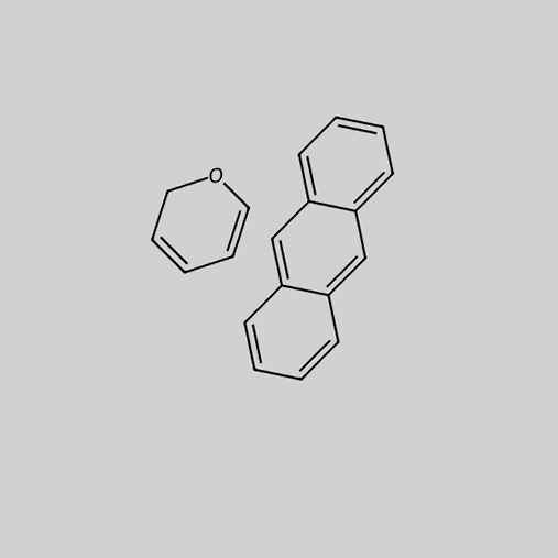 C1=CCOC=C1.c1ccc2cc3ccccc3cc2c1